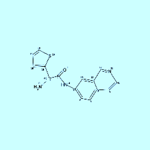 N[C@@H](C(=O)Nc1ccc2ccncc2c1)c1cccs1